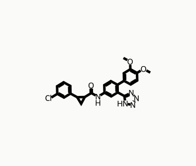 COc1ccc(-c2ccc(NC(=O)C3CC3c3cccc(Cl)c3)cc2-c2nnn[nH]2)cc1OC